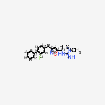 CN(C)C(=N)NCc1cc(Cc2ccc(-c3ccccc3)c(F)c2)no1